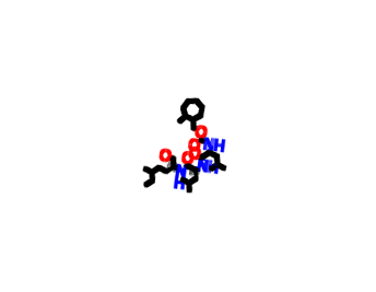 CCC(C)CC[C@@H](C=O)NC(=O)[C@H](CC(C)C)NC(=O)C(CC(C)C)NC(=O)OCC1CCCCCC1C